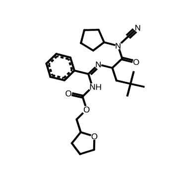 CC(C)(C)CC(N=C(NC(=O)OCC1CCCO1)c1ccccc1)C(=O)N(C#N)C1CCCC1